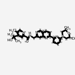 Cc1cnc(C(=O)NCc2cc3nc(-c4cccc(N5C[C@@H](C)O[C@@H](C)C5)n4)ccc3cn2)cc1C(C)(C)O